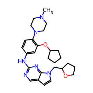 CN1CCN(c2ccc(Nc3ncc4ccn(CC5CCCO5)c4n3)cc2OC2CCCC2)CC1